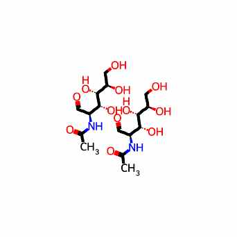 CC(=O)N[C@@H](C=O)[C@@H](O)[C@H](O)[C@H](O)CO.CC(=O)N[C@@H](C=O)[C@@H](O)[C@H](O)[C@H](O)CO